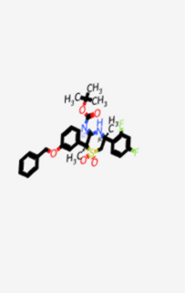 CC(C)(C)OC(=O)/N=C1\N[C@](C)(c2ccc(F)cc2F)CS(=O)(=O)[C@@]1(C)c1cccc(OCc2ccccc2)c1